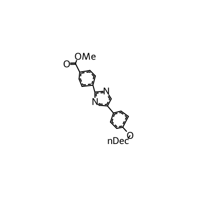 CCCCCCCCCCOc1ccc(-c2cnc(-c3ccc(C(=O)OC)cc3)nc2)cc1